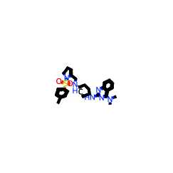 Cc1ccc(S(=O)(=O)N2CCC=C2CN[C@H]2CC[C@@H](Nc3nc(N(C)C)c4ccccc4n3)CC2)cc1